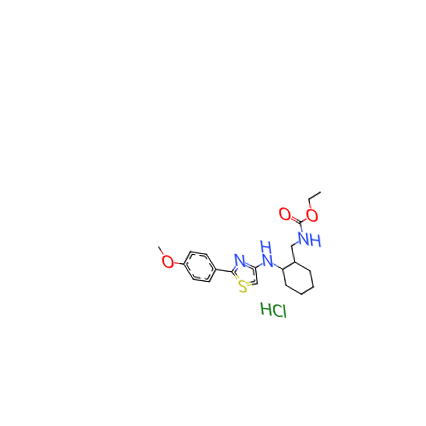 CCOC(=O)NCC1CCCCC1Nc1csc(-c2ccc(OC)cc2)n1.Cl